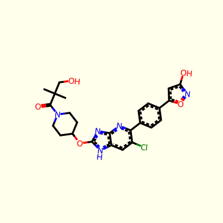 CC(C)(CO)C(=O)N1CCC(Oc2nc3nc(-c4ccc(-c5cc(O)no5)cc4)c(Cl)cc3[nH]2)CC1